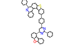 c1ccc(-c2nc(-c3ccc(-c4ccc5sc6ccc7c(-c8ccccc8)nc8ccccc8c7c6c5c4)cc3)cc(-c3cccc4oc5ccccc5c34)n2)cc1